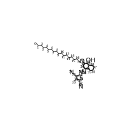 CCCCCCCCCCCCCCCCCCOc1cc(N=Nc2sc(C#N)c(C)c2C#N)c2ccccc2c1O